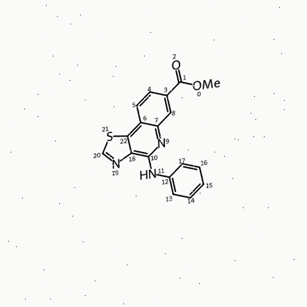 COC(=O)c1ccc2c(c1)nc(Nc1ccccc1)c1ncsc12